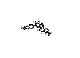 C[C@@H](Nc1ncnc2c1cc(C1CCS(=O)(=NC3COC3)CC1)c(=O)n2C)c1cccc(C(F)F)c1F